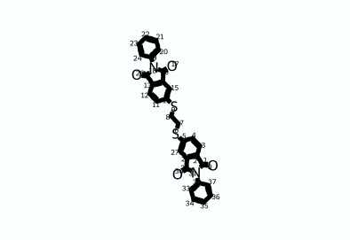 O=C1c2ccc(SCCSc3ccc4c(c3)C(=O)N(c3ccccc3)C4=O)cc2C(=O)N1c1ccccc1